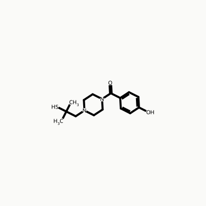 CC(C)(S)CN1CCN(C(=O)c2ccc(O)cc2)CC1